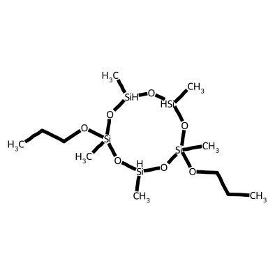 CCCO[Si]1(C)O[SiH](C)O[SiH](C)O[Si](C)(OCCC)O[SiH](C)O1